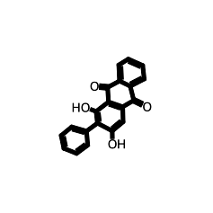 O=C1c2ccccc2C(=O)c2c1cc(O)c(-c1ccccc1)c2O